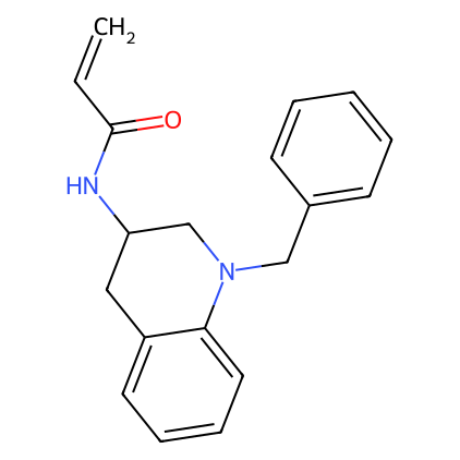 C=CC(=O)NC1Cc2ccccc2N(Cc2ccccc2)C1